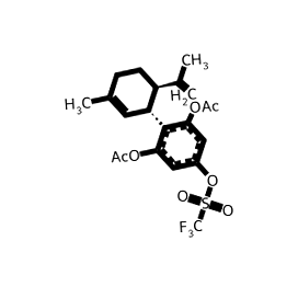 C=C(C)[C@@H]1CCC(C)=C[C@H]1c1c(OC(C)=O)cc(OS(=O)(=O)C(F)(F)F)cc1OC(C)=O